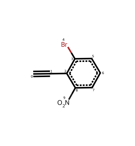 C#Cc1c(Br)cccc1[N+](=O)[O-]